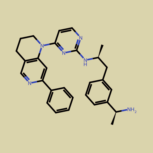 C[C@H](N)c1cccc(C[C@H](C)Nc2nccc(N3CCCc4cnc(-c5ccccc5)cc43)n2)c1